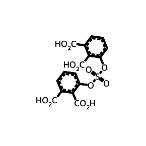 O=C(O)c1cccc(OS(=O)(=O)Oc2cccc(C(=O)O)c2C(=O)O)c1C(=O)O